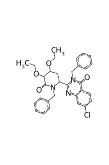 CCOC1CC(c2nc3cc(Cl)ccc3c(=O)n2Cc2ccccc2)N(Cc2ccccc2)C(=O)C1OCC